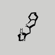 C1=CC2C=C(Cc3ncc[nH]3)SC2C=C1